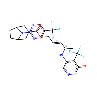 C[C@H](/C=C/COC(=O)N1CC2CCC(C1)N2c1ncc(C(F)(F)F)cn1)Nc1cn[nH]c(=O)c1C(F)(F)F